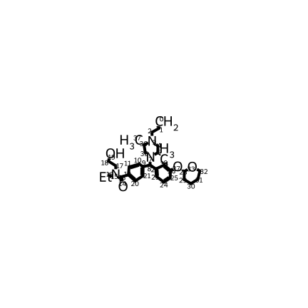 C=CCN1C[C@H](C)N(C(c2ccc(C(=O)N(CC)CCO)cc2)c2cccc(O[C@@H]3CCCCO3)c2)C[C@H]1C